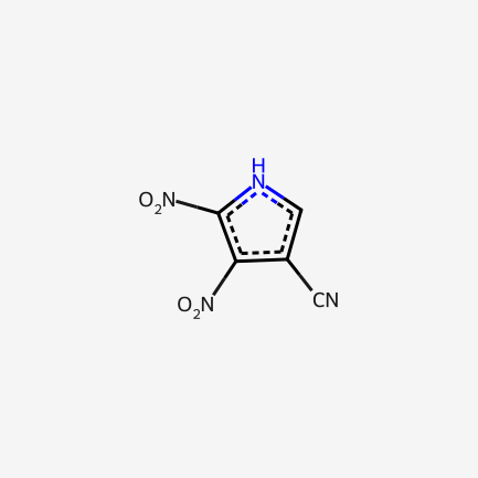 N#Cc1c[nH]c([N+](=O)[O-])c1[N+](=O)[O-]